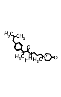 CC(C)Cc1ccc([C@@H](C)C(=O)NCCC[N+]2(C)CCC(=O)CC2)cc1.[I-]